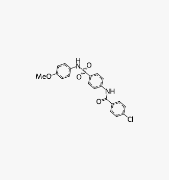 COc1ccc(NS(=O)(=O)c2ccc(NC(=O)c3ccc(Cl)cc3)cc2)cc1